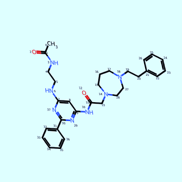 CC(=O)NCCNc1cc(NC(=O)CN2CCCN(CCc3ccccc3)CC2)nc(-c2ccccc2)n1